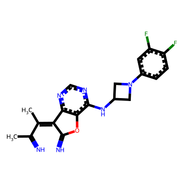 CC(=N)/C(C)=C1\C(=N)Oc2c(NC3CN(c4ccc(F)c(F)c4)C3)ncnc21